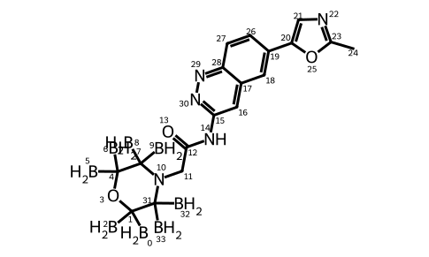 BC1(B)OC(B)(B)C(B)(B)N(CC(=O)Nc2cc3cc(-c4cnc(C)o4)ccc3nn2)C1(B)B